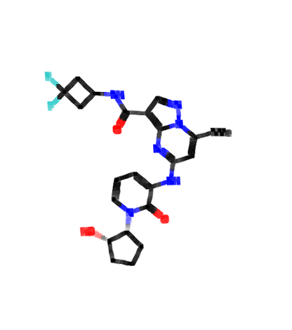 CNc1cc(Nc2cccn([C@@H]3CCC[C@@H]3O)c2=O)nc2c(C(=O)NC3CC(F)(F)C3)cnn12